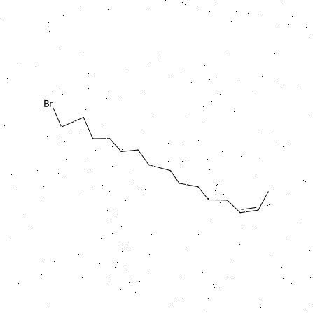 C/C=C\CCCCCCCCCCCCBr